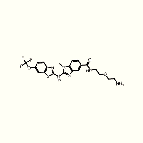 Cn1c(Nc2nc3ccc(OC(F)(F)F)cc3s2)nc2cc(C(=O)NCCOCCN)ccc21